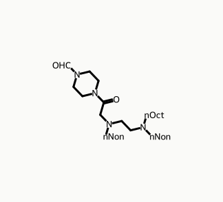 CCCCCCCCCN(CCCCCCCC)CCN(CCCCCCCCC)CC(=O)N1CCN(C=O)CC1